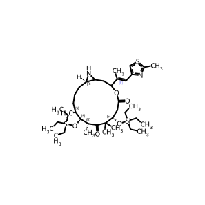 CC[Si](CC)(CC)O[C@H]1[C@@H](C)CCC[C@H]2NC2CC(/C(C)=C/c2csc(C)n2)OC(=O)C[C@H](O[Si](CC)(CC)CC)C(C)(C)C(=O)[C@@H]1C